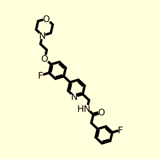 O=C(Cc1cccc(F)c1)NCc1ccc(-c2ccc(OCCN3CCOCC3)c(F)c2)cn1